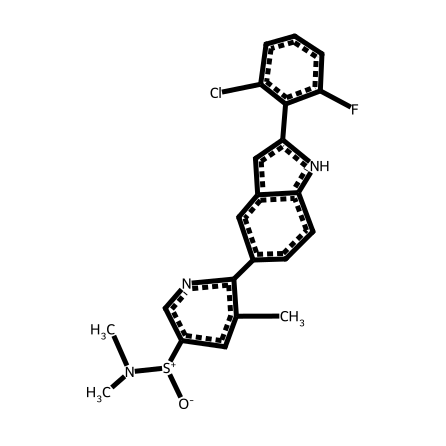 Cc1cc([S+]([O-])N(C)C)cnc1-c1ccc2[nH]c(-c3c(F)cccc3Cl)cc2c1